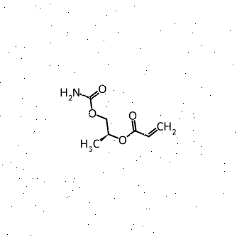 C=CC(=O)O[C@@H](C)COC(N)=O